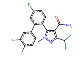 Cn1nc(C(F)F)c(C(N)=O)c1-c1ccc(F)cc1-c1ccc(F)c(F)c1